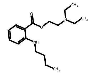 CCCCNc1ccccc1C(=O)OCCN(CC)CC